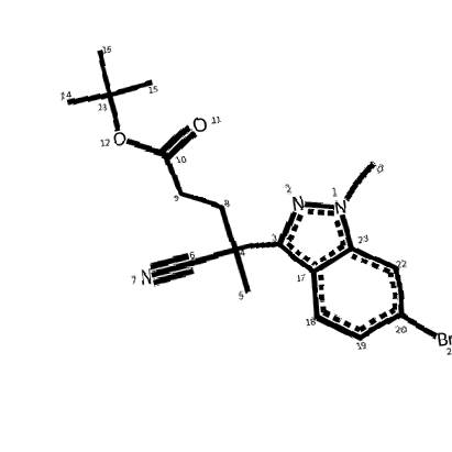 Cn1nc(C(C)(C#N)CCC(=O)OC(C)(C)C)c2ccc(Br)cc21